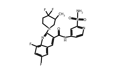 CC1CN(c2nc3c(F)cc(F)cc3cc2C(=O)Nc2ccnc(S(N)(=O)=O)c2)CCC1(F)F